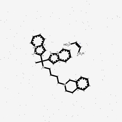 CC(OCCCCN1CCc2ccccc2C1)(c1cc2ccccn2n1)c1cc2ccccn2n1.O=C(O)/C=C\C(=O)O